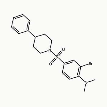 CN(C)c1ccc(S(=O)(=O)N2CCC(c3ccccc3)CC2)cc1Br